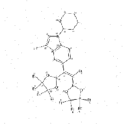 CC/C(B1OC(CC)(CC)C(CC)(CC)O1)=C(/B1OC(CC)(CC)C(CC)(CC)O1)c1ccc2c(c1)c(F)nn2C1CCCCO1